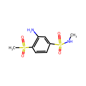 CNS(=O)(=O)c1ccc(S(C)(=O)=O)c(N)c1